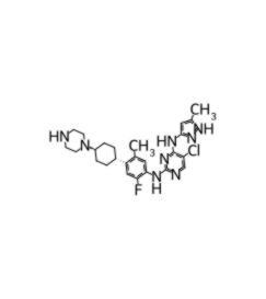 Cc1cc(Nc2nc(Nc3cc(C)c([C@H]4CC[C@H](N5CCNCC5)CC4)cc3F)ncc2Cl)n[nH]1